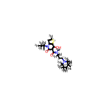 [2H]c1cc2c(s1)c(O)c(C(=O)N([2H])C([2H])([2H])CCN1C([2H])([2H])C([2H])([2H])C([2H])([2H])C([2H])(C)C1([2H])[2H])c(=O)n2C([2H])(C)C([2H])([2H])[2H]